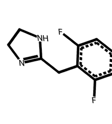 Fc1cccc(F)c1CC1=NCCN1